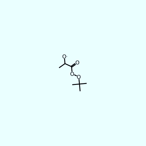 CC([O])C(=O)OOC(C)(C)C